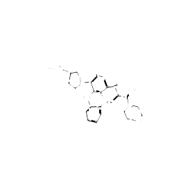 NC1CCN(c2c(F)cc3c(=O)c(C(=O)N4CCOCC4)cn4c3c2Oc2ccccc2-4)C1